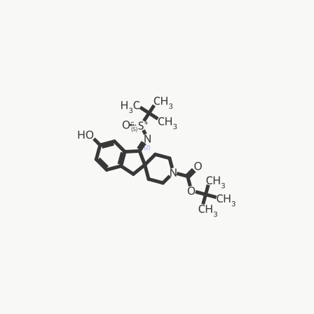 CC(C)(C)OC(=O)N1CCC2(CC1)Cc1ccc(O)cc1/C2=N\[S@+]([O-])C(C)(C)C